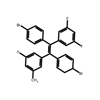 Cc1cc(F)cc(/C(C2=CCC(Br)C=C2)=C(\c2ccc(Br)cc2)c2cc(F)cc(F)c2)c1